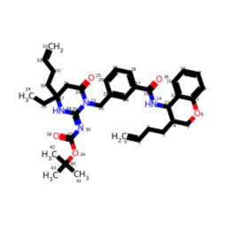 C=CCCC1COc2ccccc2C1NC(=O)c1cccc(CN2C(=O)CC(CC)(CCC=C)NC2=NC(=O)OC(C)(C)C)c1